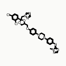 Cn1ncsc1=Nc1ccc(N2CCN(c3ccc(OCC4COC(Cn5cncn5)(c5ccc(Cl)cc5Cl)O4)cc3)CC2)cc1